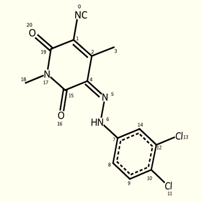 [C-]#[N+]C1=C(C)/C(=N/Nc2ccc(Cl)c(Cl)c2)C(=O)N(C)C1=O